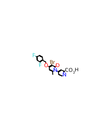 Cc1cc(OCc2ccc(F)cc2F)c(Br)c(=O)n1-c1ccnc(C(=O)O)c1